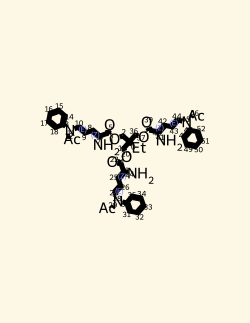 CCC(COC(=O)/C(N)=C/C=C/N(C(C)=O)c1ccccc1)(COC(=O)/C(N)=C/C=C/N(C(C)=O)c1ccccc1)COC(=O)/C(N)=C/C=C/N(C(C)=O)c1ccccc1